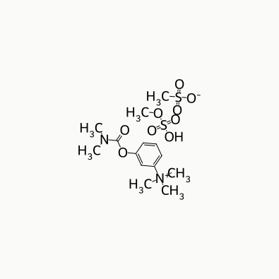 CN(C)C(=O)Oc1cccc([N+](C)(C)C)c1.COS(=O)(=O)O.CS(=O)(=O)[O-]